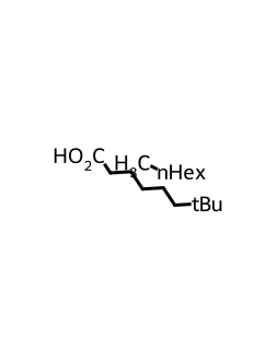 CC(C)(C)CCCCCC(=O)O.CCCCCCC